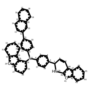 C1=CC(c2ccc(N(c3ccc(-c4ccc5ccccc5c4)cc3)c3cccc4oc5ccccc5c34)cc2)Nc2oc3ccccc3c21